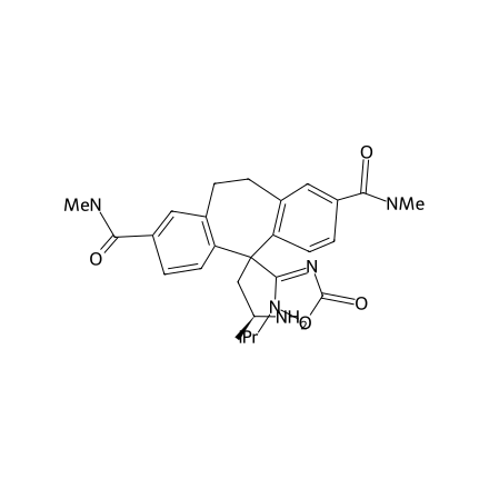 CNC(=O)c1ccc2c(c1)CCc1cc(C(=O)NC)ccc1C2(C[C@H](C)N)c1nc(=O)on1C(C)C